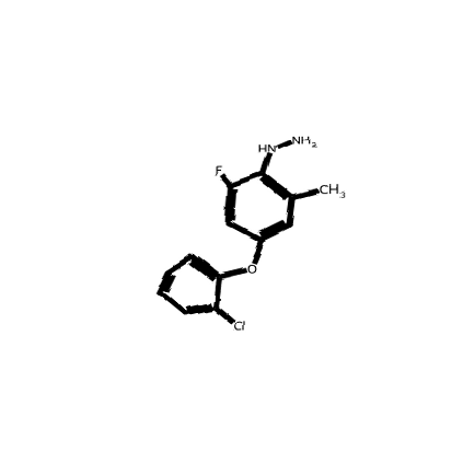 Cc1cc(Oc2ccccc2Cl)cc(F)c1NN